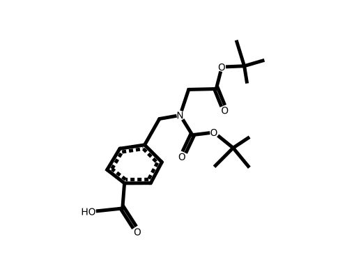 CC(C)(C)OC(=O)CN(Cc1ccc(C(=O)O)cc1)C(=O)OC(C)(C)C